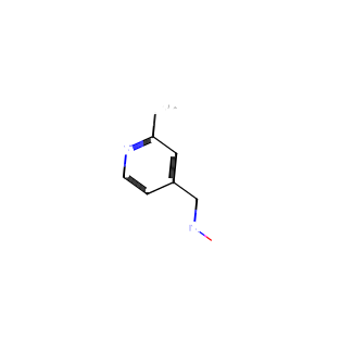 COc1cc(CNO)ccn1